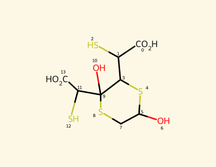 O=C(O)C(S)C1SC(O)CSC1(O)C(S)C(=O)O